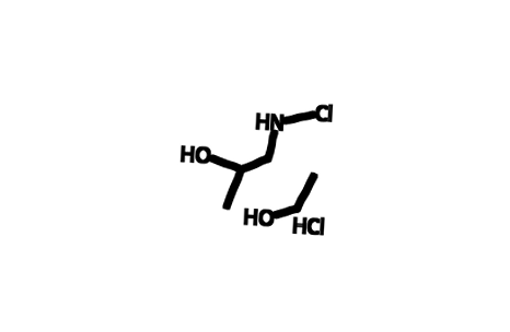 CC(O)CNCl.CCO.Cl